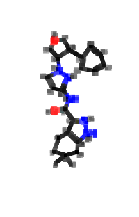 CC1(C)CCc2c(C(=O)Nc3ccn(C4COCC4c4ccccc4)n3)n[nH]c2C1